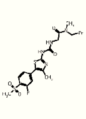 Cc1nc(NC(=O)NCC(=O)N(C)CC(C)C)sc1-c1ccc(S(C)(=O)=O)c(F)c1